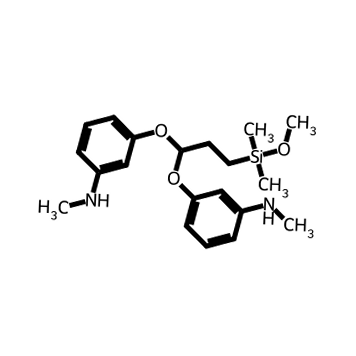 CNc1cccc(OC(CC[Si](C)(C)OC)Oc2cccc(NC)c2)c1